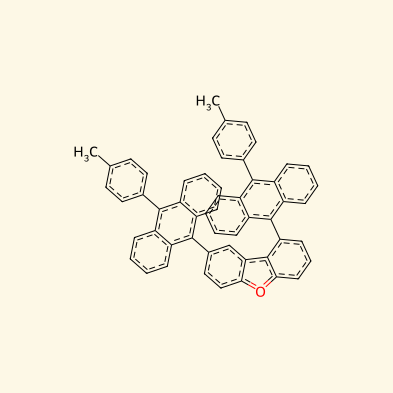 Cc1ccc(-c2c3ccccc3c(-c3ccc4oc5cccc(-c6c7ccccc7c(-c7ccc(C)cc7)c7ccccc67)c5c4c3)c3ccccc23)cc1